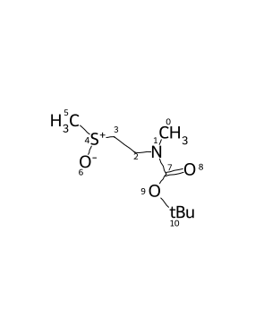 CN(CC[S+](C)[O-])C(=O)OC(C)(C)C